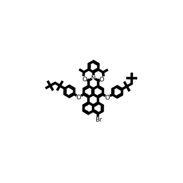 CC(C)c1cccc(C(C)C)c1N1C(=O)c2cc(Oc3ccc(C(C)(C)CC(C)(C)C)cc3)c3c4cccc5c(Br)ccc(c6c(Oc7ccc(C(C)(C)CC(C)(C)C)cc7)cc(c2c36)C1=O)c54